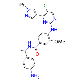 COc1cc(C(=O)NC(C)c2ccc(N)cc2)ccc1Nc1ncc(Cl)c(-c2cnn(C(C)C)c2)n1